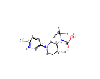 C[C@@H]1CCN(c2ccc(Cl)nc2)C[C@@H]1N(C(=O)O)C(C)(C)C